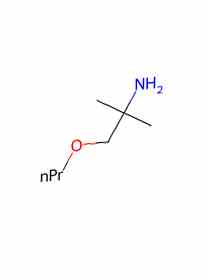 CCCOCC(C)(C)N